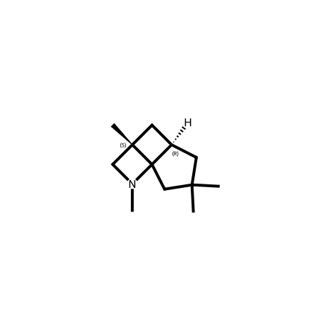 CN1C[C@]2(C)C[C@H]3CC(C)(C)CC312